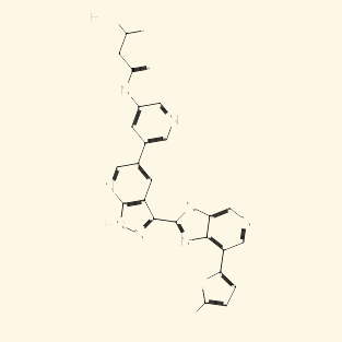 Cc1ccc(-c2cncc3[nH]c(-c4n[nH]c5ncc(-c6cncc(NC(=O)CC(C)C)c6)cc45)nc23)s1